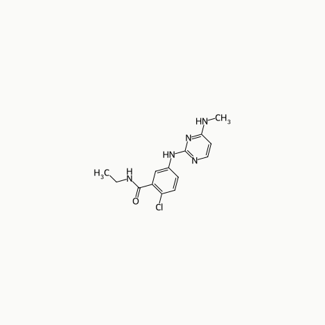 CCNC(=O)c1cc(Nc2nccc(NC)n2)ccc1Cl